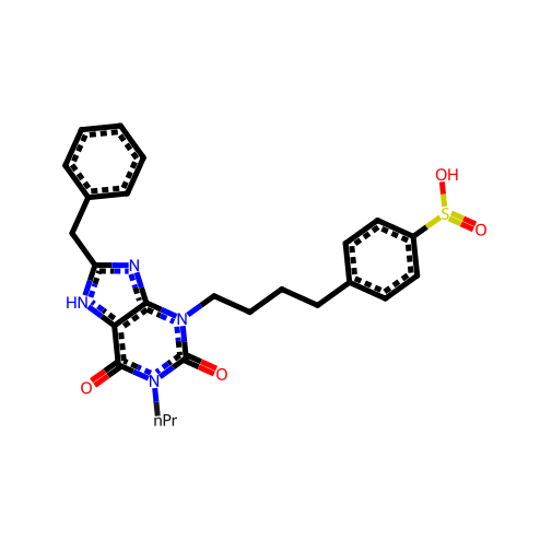 CCCn1c(=O)c2[nH]c(Cc3ccccc3)nc2n(CCCCc2ccc(S(=O)O)cc2)c1=O